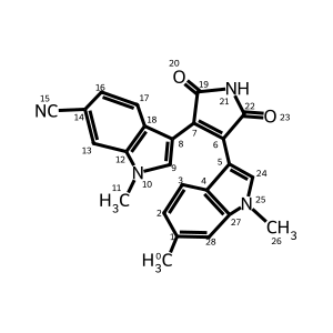 Cc1ccc2c(C3=C(c4cn(C)c5cc(C#N)ccc45)C(=O)NC3=O)cn(C)c2c1